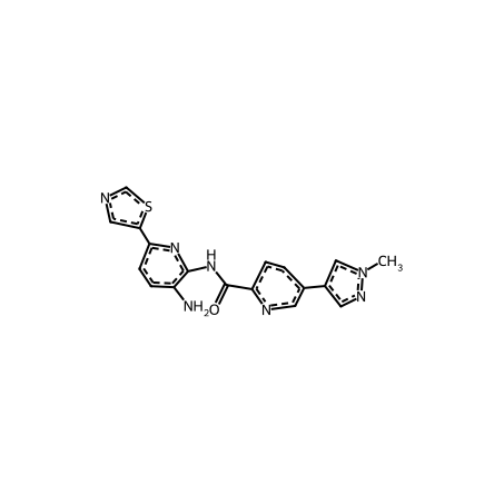 Cn1cc(-c2ccc(C(=O)Nc3nc(-c4cncs4)ccc3N)nc2)cn1